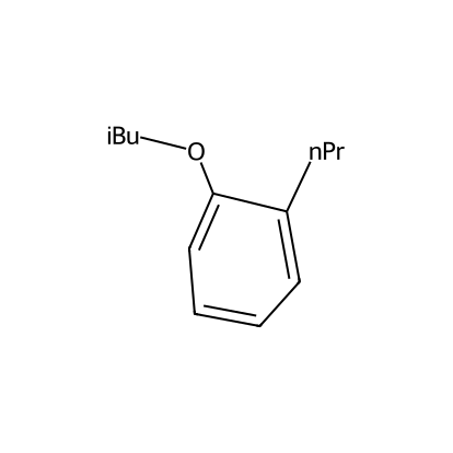 [CH2]CCc1ccccc1OC(C)CC